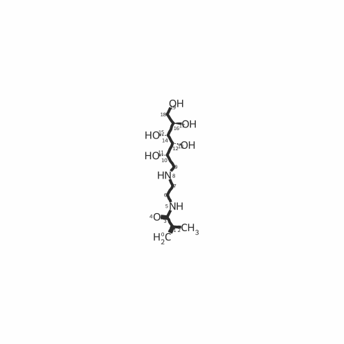 C=C(C)C(=O)NCCNC[C@H](O)[C@@H](O)[C@H](O)[C@H](O)CO